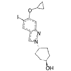 O[C@H]1CC[C@H](n2cc3cc(I)c(OC4CC4)cc3n2)CC1